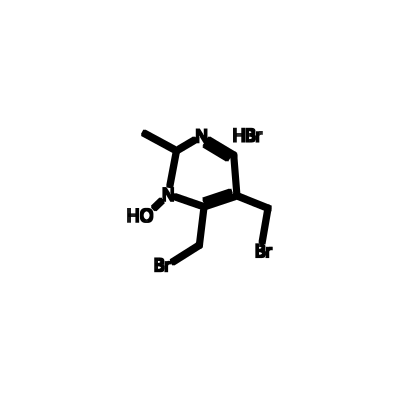 Br.CC1N=CC(CBr)=C(CBr)N1O